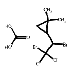 CC1(C)CC1C(Br)C(Cl)(Cl)Br.O=C(O)O